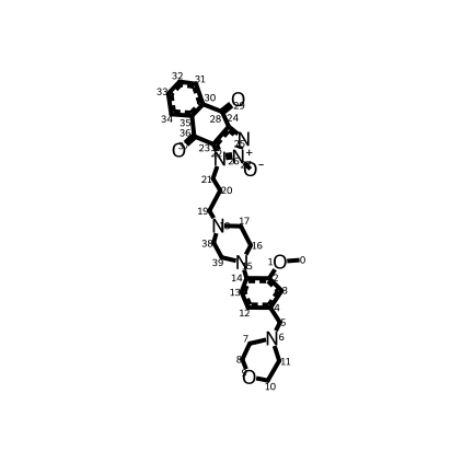 COc1cc(CN2CCOCC2)ccc1N1CCN(CCCn2c3c(n[n+]2[O-])C(=O)c2ccccc2C3=O)CC1